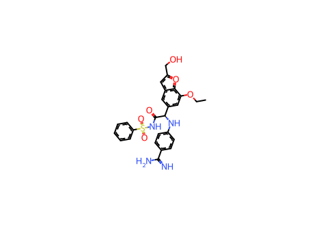 CCOc1cc([C@@H](Nc2ccc(C(=N)N)cc2)C(=O)NS(=O)(=O)c2ccccc2)cc2cc(CO)oc12